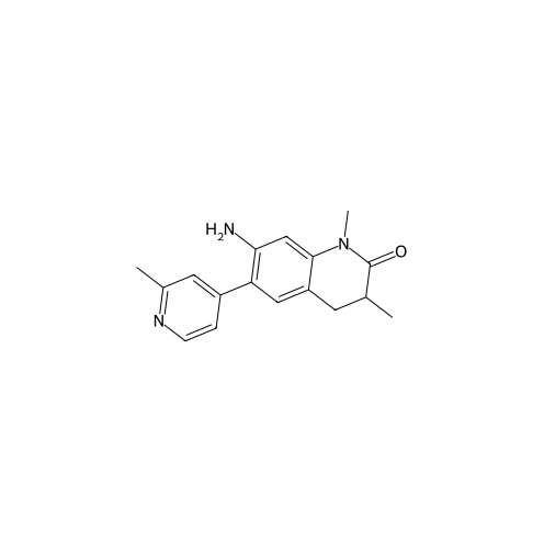 Cc1cc(-c2cc3c(cc2N)N(C)C(=O)C(C)C3)ccn1